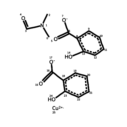 CN(C)C=O.O=C([O-])c1ccccc1O.O=C([O-])c1ccccc1O.[Cu+2]